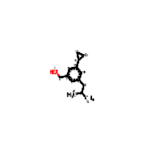 CC(C)Cc1cc(CO)cc(C2CC2)c1